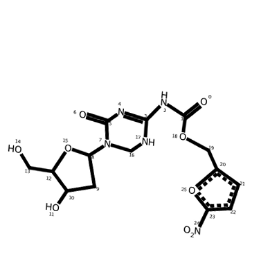 O=C(NC1=NC(=O)N(C2CC(O)C(CO)O2)CN1)OCc1ccc([N+](=O)[O-])o1